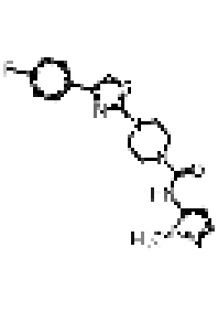 Cn1nccc1NC(=O)N1CCN(c2nc(-c3ccc(F)cc3)cs2)CC1